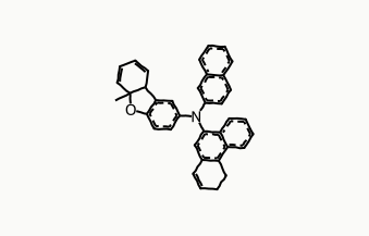 CC12C=CC=CC1c1cc(N(c3ccc4ccccc4c3)c3cc4c(c5ccccc35)CCC=C4)ccc1O2